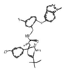 Cn1ncc2cc(Sc3ccc(F)cc3CNC(=O)NC3(c4ccc(Cl)cc4)C=C(C(C)(C)C)NN3)ccc21